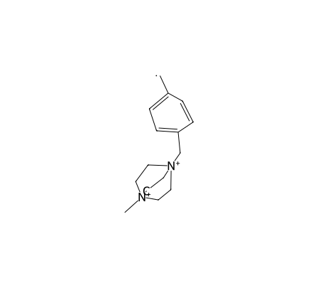 [CH2]c1ccc(C[N+]23CC[N+](C)(CC2)CC3)cc1